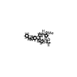 COc1ccc(NC(=O)CN(C)C)cc1Nc1nccc(-c2c(-c3ccc4nc(Cc5ccccc5)[nH]c4c3)nc3ccccn23)n1